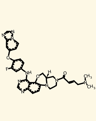 CN(C)C/C=C/C(=O)N1CCN2c3ccc4ncnc(Nc5ccc(Oc6ccn7ncnc7c6)c(F)c5)c4c3OC[C@@H]2C1